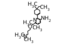 CCC1(CC)CC=C(c2nc(C(C)(C)OCCCN(C)C)ccc2N)CC1